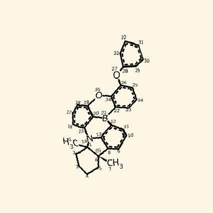 CC12CCCC[C@@]1(C)c1cccc3c1N2c1cccc2c1B3c1cccc(Oc3ccccc3)c1O2